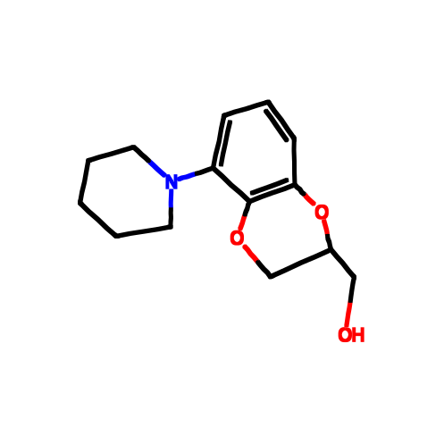 OCC1COc2c(cccc2N2CCCCC2)O1